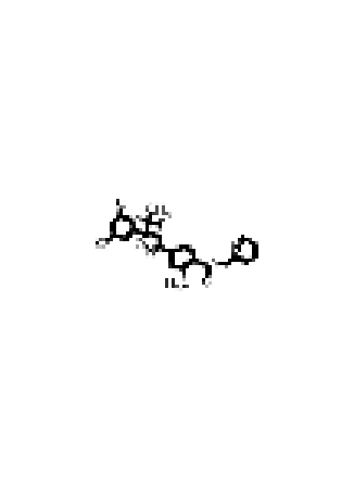 Cc1cc(C2=NOC(c3cc(Cl)cc(Cl)c3)(C(C)(F)F)C2)ccc1C(=O)NCc1ccccn1